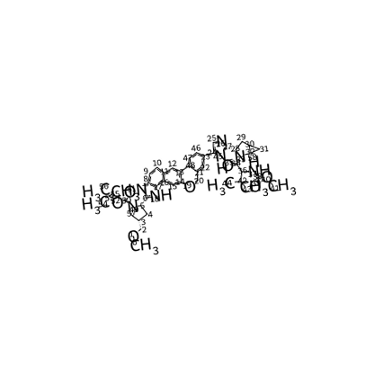 COC[C@H]1C[C@@H](c2nc3ccc4cc5c(cc4c3[nH]2)OCc2cc(-c3cnc([C@@H]4CC6C[C@H]6N4C(=O)[C@@H](NC(=O)OC)C(C)C)[nH]3)ccc2-5)N(C(=O)OC(C)(C)C)C1